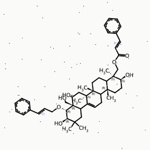 CC1(C)CC2C3=CCC4[C@@]5(C)CC[C@H](O)[C@](C)(COC(=O)/C=C/c6ccccc6)C5CC[C@@]4(C)[C@]3(C)C[C@@H](O)[C@@]2(CO)[C@@H](OC/C=C/c2ccccc2)[C@@H]1O